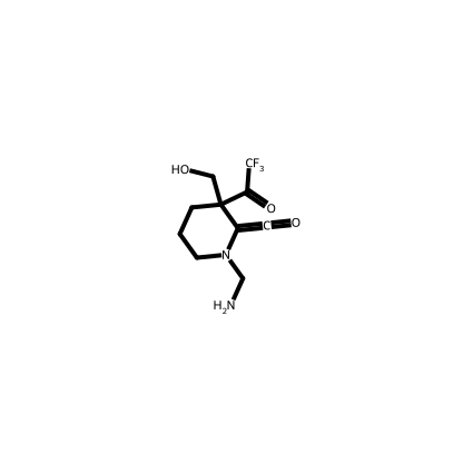 NCN1CCCC(CO)(C(=O)C(F)(F)F)C1=C=O